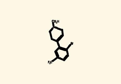 O=C(O)N1CC=C(c2cc(C(F)(F)F)ccc2Br)CC1